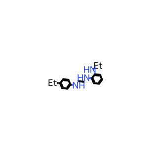 CCNc1ccccc1NCCNc1ccc(CC)cc1